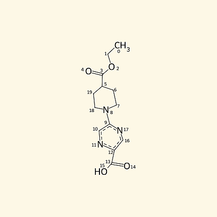 CCOC(=O)C1CCN(c2cnc(C(=O)O)cn2)CC1